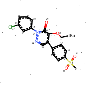 CC(C)(C)COc1c(-c2ccc(S(C)(=O)=O)cc2)cnn(-c2cccc(Cl)c2)c1=O